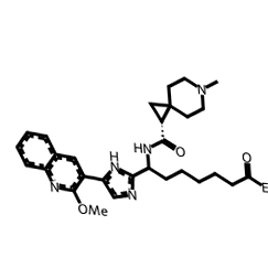 CCC(=O)CCCCCC(NC(=O)[C@@H]1CC12CCN(C)CC2)c1ncc(-c2cc3ccccc3nc2OC)[nH]1